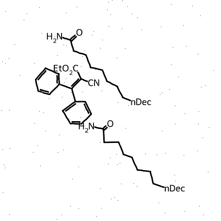 CCCCCCCCCCCCCCCCCC(N)=O.CCCCCCCCCCCCCCCCCC(N)=O.CCOC(=O)C(C#N)=C(c1ccccc1)c1ccccc1